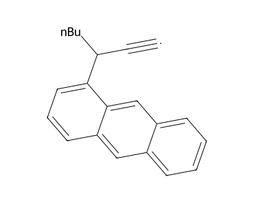 [C]#CC(CCCC)c1cccc2cc3ccccc3cc12